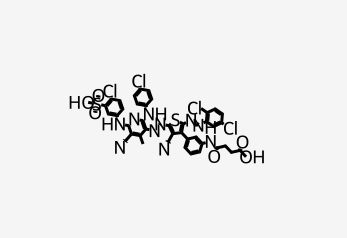 Cc1c(C#N)c(Nc2ccc(Cl)c(S(=O)(=O)O)c2)nc(Nc2ccc(Cl)cc2)c1N=Nc1sc(N=Nc2cc(Cl)ccc2Cl)c(-c2cccc(NC(=O)CCC(=O)O)c2)c1C#N